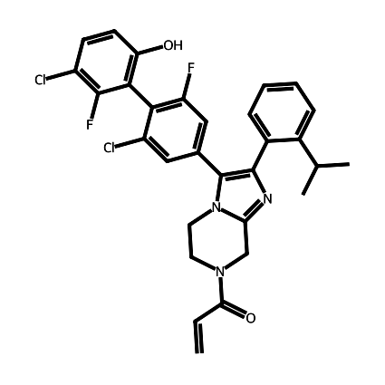 C=CC(=O)N1CCn2c(nc(-c3ccccc3C(C)C)c2-c2cc(F)c(-c3c(O)ccc(Cl)c3F)c(Cl)c2)C1